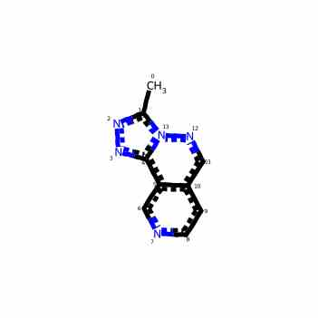 Cc1nnc2c3cnccc3cnn12